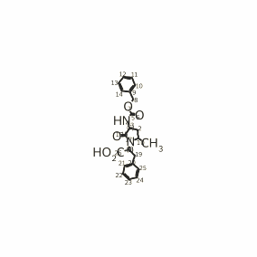 CC1C[C@H](NC(=O)OCc2ccccc2)C(=O)N1[C@@H](Cc1ccccc1)C(=O)O